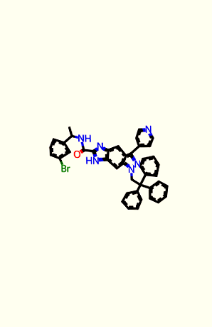 CC(NC(=O)c1nc2cc3c(-c4ccncc4)nn(CC(c4ccccc4)(c4ccccc4)c4ccccc4)c3cc2[nH]1)c1cccc(Br)c1